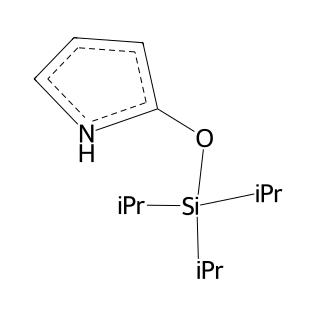 CC(C)[Si](Oc1ccc[nH]1)(C(C)C)C(C)C